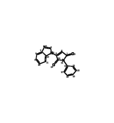 O=C1C=C(n2cnc3ccccc32)C(=O)N1c1ccccc1